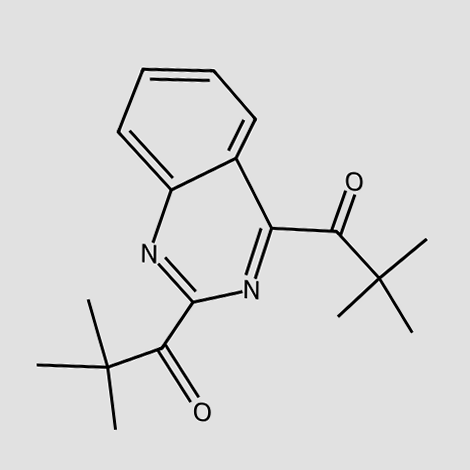 CC(C)(C)C(=O)c1nc(C(=O)C(C)(C)C)c2ccccc2n1